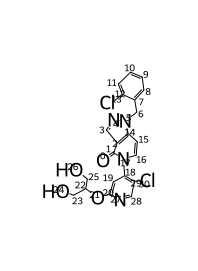 O=c1c2cnn(Cc3ccccc3Cl)c2ccn1-c1cc(OC(CO)CO)ncc1Cl